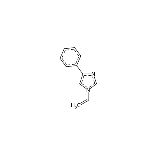 C=Cn1cnc(-c2ccccc2)c1